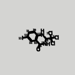 O=C1NC(C(Cl)(Cl)Cl)Nc2ccc(I)cc21